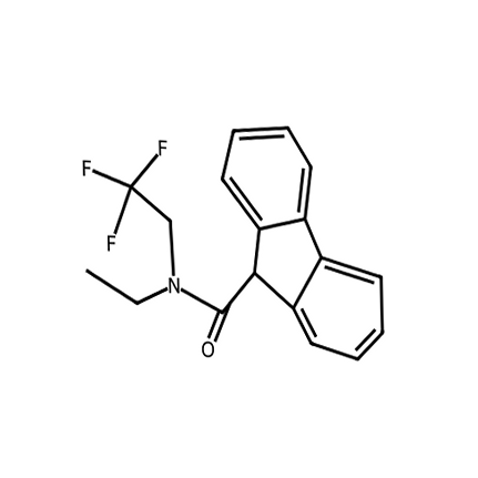 CCN(CC(F)(F)F)C(=O)C1c2ccccc2-c2ccccc21